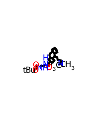 CN(C)CC/C=C1/c2ccccc2CCc2cc(C(=O)NCCNC(=O)OC(C)(C)C)ccc21